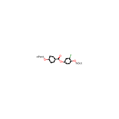 CCCCCCCCOc1ccc(OC(=O)c2ccc(OCCCCC)cc2)cc1F